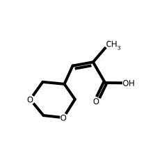 CC(=CC1COCOC1)C(=O)O